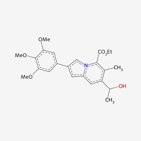 CCOC(=O)c1c(C)c(C(C)O)cc2cc(-c3cc(OC)c(OC)c(OC)c3)cn12